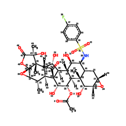 CC(=O)O[C@H]1[C@H]2[C@@H]([C@@H](O)[C@@H](NS(=O)(=O)c3ccc(F)cc3)C3C[C@@H]4O[C@@H]4[C@H](O)[C@@]32C)[C@@H]2[C@@H](O)[C@@H]3[C@H]([C@H](C)[C@H]4O[C@]45OC(=O)[C@@](C)(O)[C@]35C)[C@@]2(C(C)=O)[C@H]1O